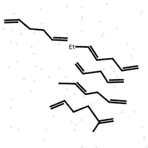 C=CCC=C.C=CCC=CC.C=CCC=CCC.C=CCCC(=C)C.C=CCCC=C